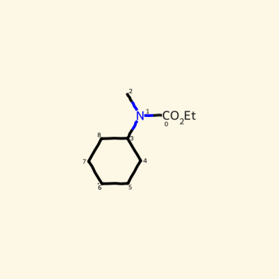 CCOC(=O)N(C)C1CC[CH]CC1